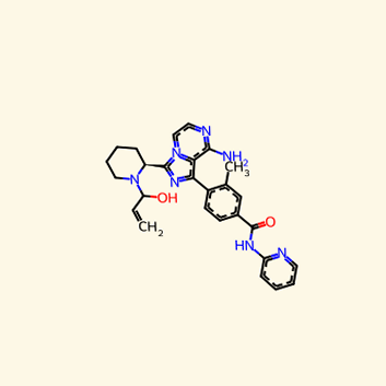 C=CC(O)N1CCCC[C@H]1c1nc(-c2ccc(C(=O)Nc3ccccn3)cc2C)c2c(N)nccn12